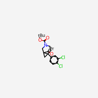 CC(C)C(=O)C12CN(C(=O)OC(C)(C)C)CCC1(c1ccc(Cl)c(Cl)c1)C2